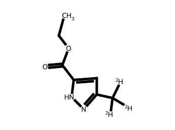 [2H]C([2H])([2H])c1cc(C(=O)OCC)[nH]n1